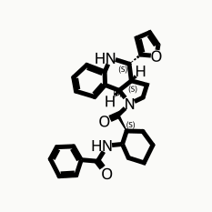 O=C(NC1CCCC[C@@H]1C(=O)N1CC[C@H]2[C@@H](c3ccco3)Nc3ccccc3[C@H]21)c1ccccc1